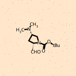 CN(C)[C@H]1C[C@@H](C=O)N(C(=O)OC(C)(C)C)C1